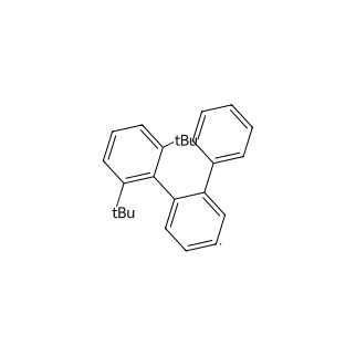 CC(C)(C)c1cccc(C(C)(C)C)c1-c1cc[c]cc1-c1ccccc1